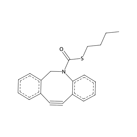 CCCCSC(=O)N1Cc2ccccc2C#Cc2ccccc21